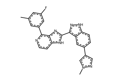 Cc1cc(F)cc(-c2nccc3[nH]c(-c4n[nH]c5ccc(-c6cnn(C)c6)cc45)nc23)c1